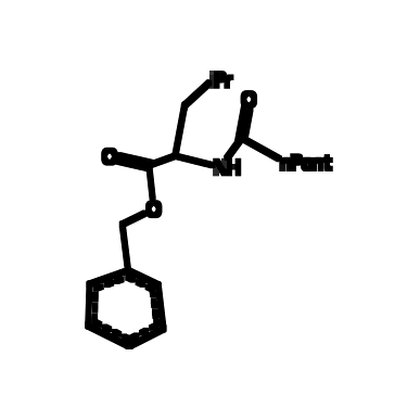 CCCCCC(=O)NC(CC(C)C)C(=O)OCc1ccccc1